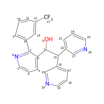 OC(c1cccnc1-c1cccc(C(F)(F)F)c1)C(c1cccnc1)c1cccnc1